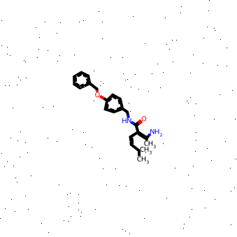 C/C(N)=C(\C=C/C(C)C)C(=O)NCc1ccc(OCc2ccccc2)cc1